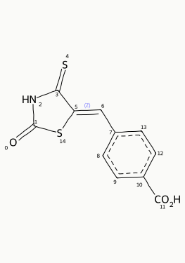 O=C1NC(=S)/C(=C/c2ccc(C(=O)O)cc2)S1